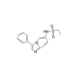 CCS(=O)(=O)Nc1ccc2ncc(-c3ccccc3)n2c1